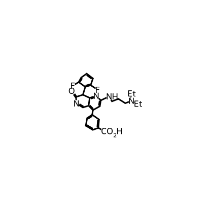 CCN(CC)CCCNc1cc(-c2cccc(C(=O)O)c2)c2c(n1)C(c1c(F)cccc1F)C(=O)N=C2